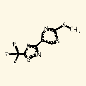 CSc1ncc(-c2noc(C(F)(F)F)n2)cn1